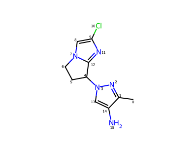 Cc1nn(C2CCn3cc(Cl)nc32)cc1N